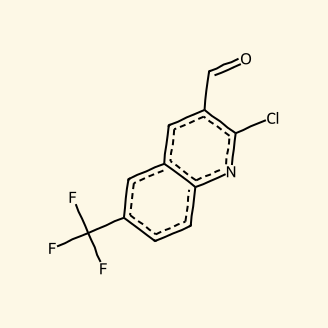 O=Cc1cc2cc(C(F)(F)F)ccc2nc1Cl